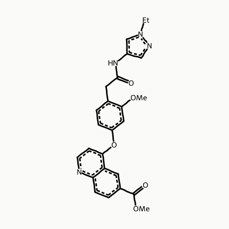 CCn1cc(NC(=O)Cc2ccc(Oc3ccnc4ccc(C(=O)OC)cc34)cc2OC)cn1